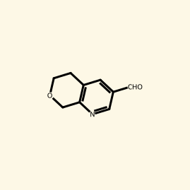 O=Cc1cnc2c(c1)CCOC2